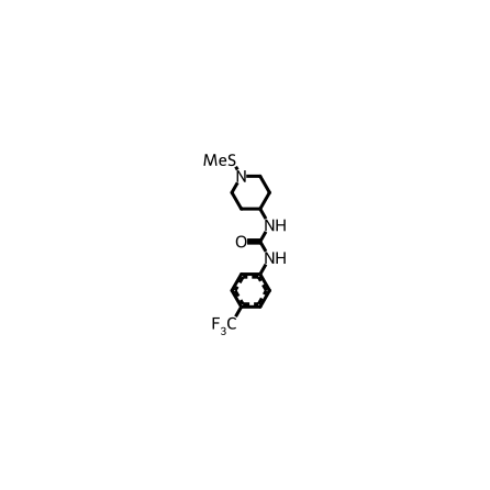 CSN1CCC(NC(=O)Nc2ccc(C(F)(F)F)cc2)CC1